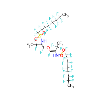 O=S(=O)(NC(=C(F)OC(F)=C(NS(=O)(=O)C(F)(F)C(F)(F)C(F)(F)C(F)(F)C(F)(F)C(F)(F)C(F)(F)C(F)(F)F)C(F)(F)C(F)(F)F)C(F)(F)C(F)(F)F)C(F)(F)C(F)(F)C(F)(F)C(F)(F)C(F)(F)C(F)(F)C(F)(F)C(F)(F)F